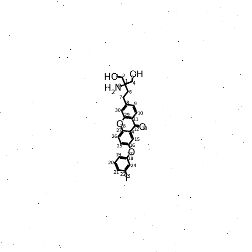 NC(CO)(CO)CCc1ccc2c(=O)c3cc(Oc4cccc(F)c4)ccc3oc2c1